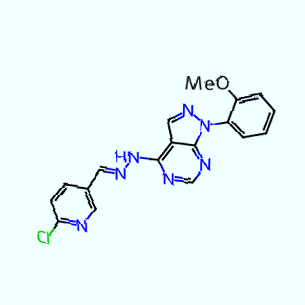 COc1ccccc1-n1ncc2c(NN=Cc3ccc(Cl)nc3)ncnc21